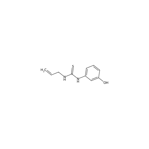 C=CCNC(=S)Nc1cccc(O)c1